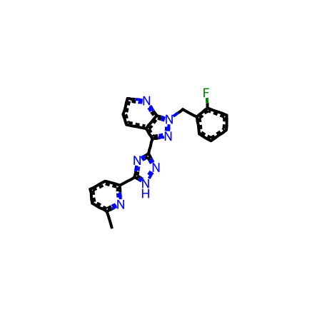 Cc1cccc(-c2nc(-c3nn(Cc4ccccc4F)c4ncccc34)n[nH]2)n1